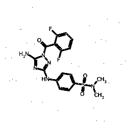 CN(C)S(=O)(=O)c1ccc(Nc2nc(N)n(C(=O)c3c(F)cccc3F)n2)cc1